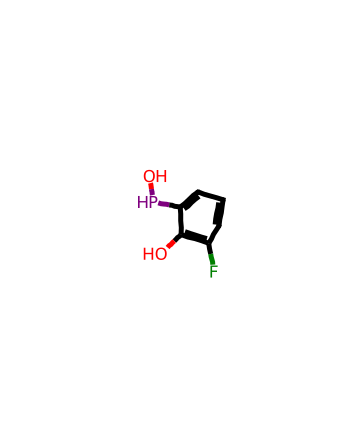 OPc1cccc(F)c1O